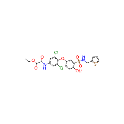 CCOC(=O)C(=O)Nc1cc(Cl)c(Oc2ccc(O)c(S(=O)(=O)NCc3cccs3)c2)c(Cl)c1